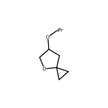 CC(C)OC1COC2(CC2)C1